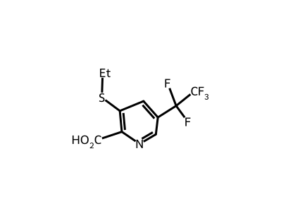 CCSc1cc(C(F)(F)C(F)(F)F)cnc1C(=O)O